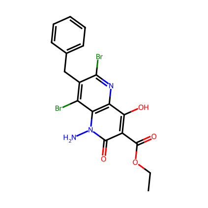 CCOC(=O)c1c(O)c2nc(Br)c(Cc3ccccc3)c(Br)c2n(N)c1=O